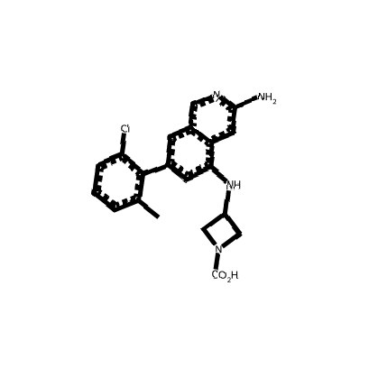 Cc1cccc(Cl)c1-c1cc(NC2CN(C(=O)O)C2)c2cc(N)ncc2c1